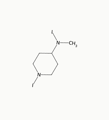 CN(I)C1CCN(I)CC1